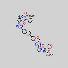 COC(=O)N[C@H](C(=O)N1CCC[C@H]1c1nc2c([nH]1)COc1cc(-c3ccc4cc(-c5c[nH]c([C@@H]6CCCN6C(=O)[C@@H](c6ccccc6)N(C)C(=O)OC)n5)ccc4c3)ccc1-2)C1CCOCC1